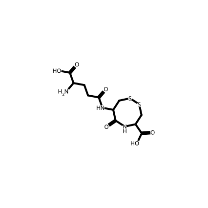 NC(CCC(=O)NC1CSSCC(C(=O)O)NC1=O)C(=O)O